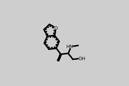 C=C(c1ccc2ccoc2c1)C(CO)NC